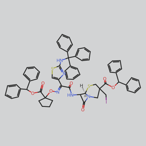 O=C(NC1C(=O)N2CC(CI)(C(=O)OC(c3ccccc3)c3ccccc3)CS[C@H]12)C(=NOC1(C(=O)OC(c2ccccc2)c2ccccc2)CCCC1)c1csc(NC(c2ccccc2)(c2ccccc2)c2ccccc2)n1